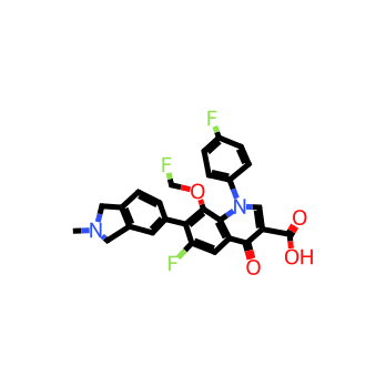 CN1Cc2ccc(-c3c(F)cc4c(=O)c(C(=O)O)cn(-c5ccc(F)cc5)c4c3OCF)cc2C1